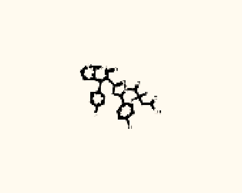 O=C(O)CC(F)(F)C(=O)N1N=C(c2c(-c3ccc(Br)cc3)c3ccsc3[nH]c2=O)CC1c1ccc(Cl)cc1